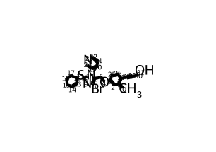 Cc1cc(OCc2c(Br)nc(SC3C=CCCC3)n2-c2cccnc2)ccc1C#CCO